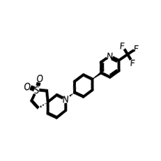 O=S1(=O)CC[C@]2(CCCN([C@H]3CC[C@H](c4ccc(C(F)(F)F)nc4)CC3)C2)C1